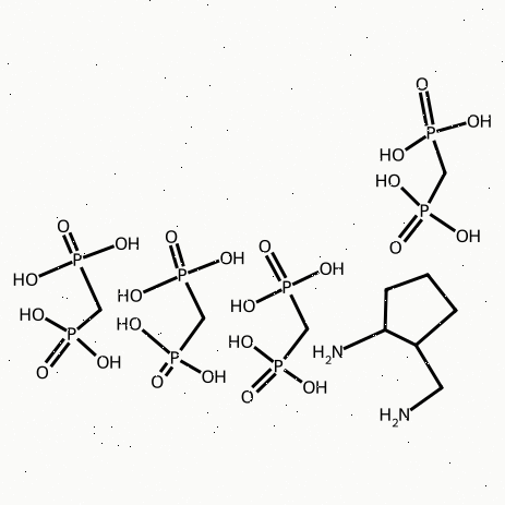 NCC1CCCC1N.O=P(O)(O)CP(=O)(O)O.O=P(O)(O)CP(=O)(O)O.O=P(O)(O)CP(=O)(O)O.O=P(O)(O)CP(=O)(O)O